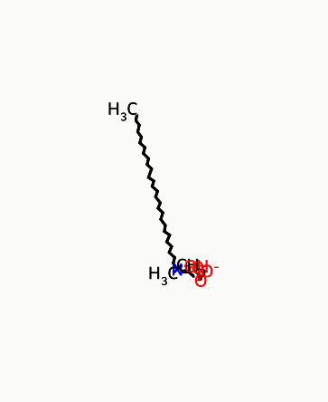 CCCCCCCCCCCCCCCCCCCCCCCCCCCCC[N+](C)(C)CC(O)CS(=O)(=O)[O-]